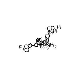 Cc1ccn(-c2cc(-c3ccc(C(F)(F)F)c(Cl)c3)ccc2[C@@H](Oc2cc(N3CCC4(CC3)CNC(C(=O)O)C4)nc(N)n2)C(F)(F)F)n1